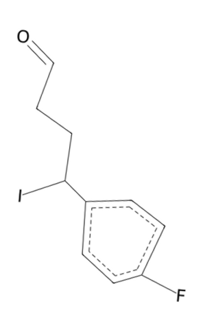 O=CCCC(I)c1ccc(F)cc1